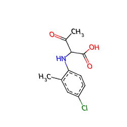 CC(=O)C(Nc1ccc(Cl)cc1C)C(=O)O